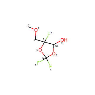 COCC1(F)OC(F)(F)OC1O